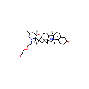 COCCOCCN1C[C@@H](C)C[C@H]2O[C@@]34CC[C@@]5(N)[C@@H]6CCC7=CC(=O)CC[C@]7(C)[C@H]6CC56CC63C[C@@H]4[C@@H]21